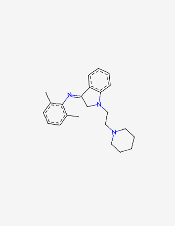 Cc1cccc(C)c1N=C1CN(CCN2CCCCC2)c2ccccc21